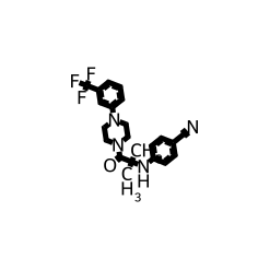 CC(C)(Nc1ccc(C#N)cc1)C(=O)N1CCN(c2cccc(C(F)(F)F)c2)CC1